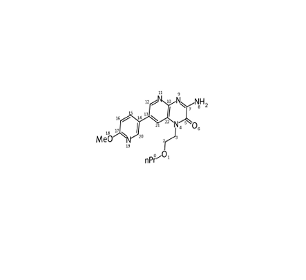 CCCOCCn1c(=O)c(N)nc2ncc(-c3ccc(OC)nc3)cc21